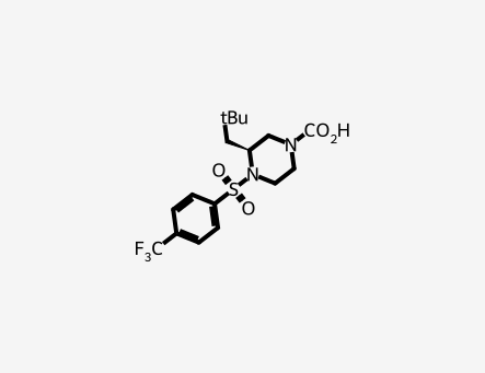 CC(C)(C)C[C@H]1CN(C(=O)O)CCN1S(=O)(=O)c1ccc(C(F)(F)F)cc1